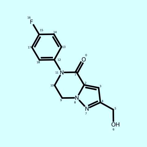 O=C1c2cc(CO)nn2CCN1c1ccc(F)cc1